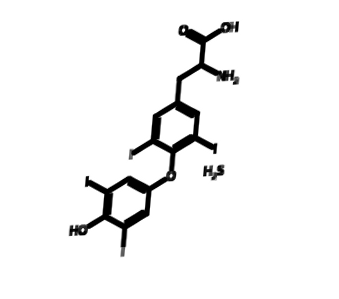 NC(Cc1cc(I)c(Oc2cc(I)c(O)c(I)c2)c(I)c1)C(=O)O.S